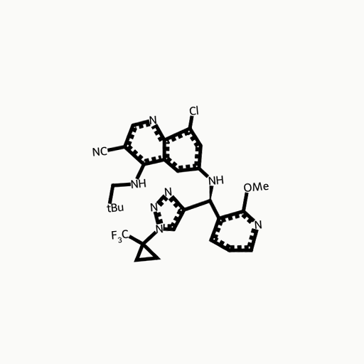 COc1ncccc1[C@H](Nc1cc(Cl)c2ncc(C#N)c(NCC(C)(C)C)c2c1)c1cn(C2(C(F)(F)F)CC2)nn1